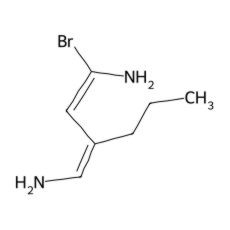 CCCC(=C/N)/C=C(\N)Br